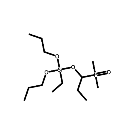 CCCO[Si](CC)(OCCC)OC(CC)P(C)(C)=O